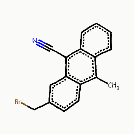 Cc1c2ccccc2c(C#N)c2cc(CBr)ccc12